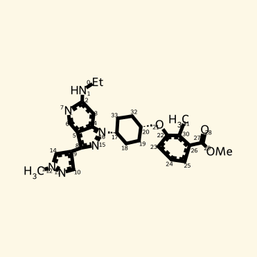 CCNc1cc2c(cn1)c(-c1cnn(C)c1)nn2[C@H]1CC[C@@H](Oc2cccc(C(=O)OC)c2C)CC1